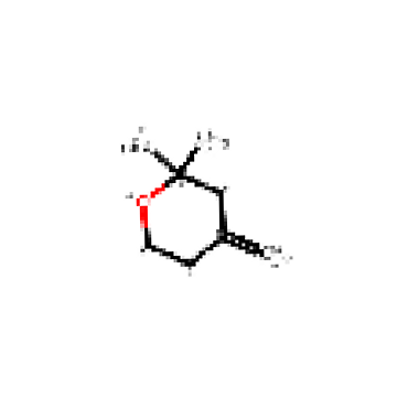 C=C1CCOC(C)(CCCC)C1